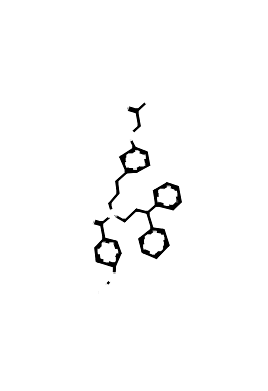 COc1ccc(C(=O)N(CCCc2cccc(OCC(=O)O)c2)CCC(c2ccccc2)c2ccccc2)cc1